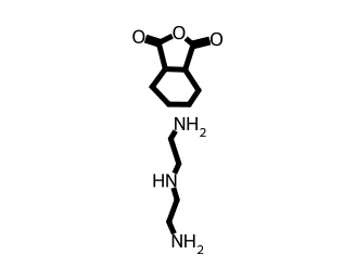 NCCNCCN.O=C1OC(=O)C2CCCCC12